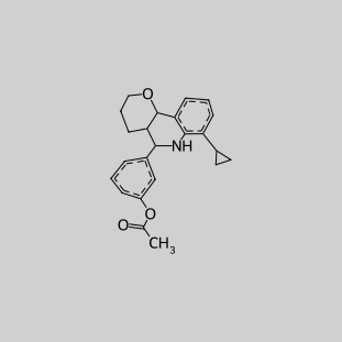 CC(=O)Oc1cccc(C2Nc3c(C4CC4)cccc3C3OCCCC23)c1